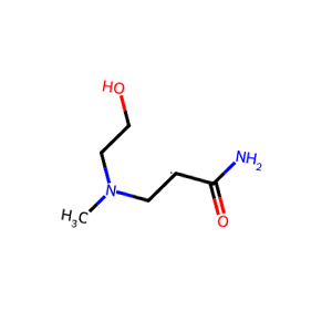 CN(C[CH]C(N)=O)CCO